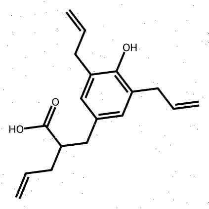 C=CCc1cc(CC(CC=C)C(=O)O)cc(CC=C)c1O